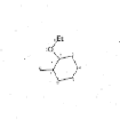 CCOC1C[CH]CCC1C